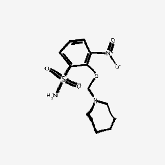 NS(=O)(=O)c1cccc([N+](=O)[O-])c1OCN1CCCCC1